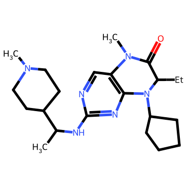 CCC1C(=O)N(C)c2cnc(NC(C)C3CCN(C)CC3)nc2N1C1CCCC1